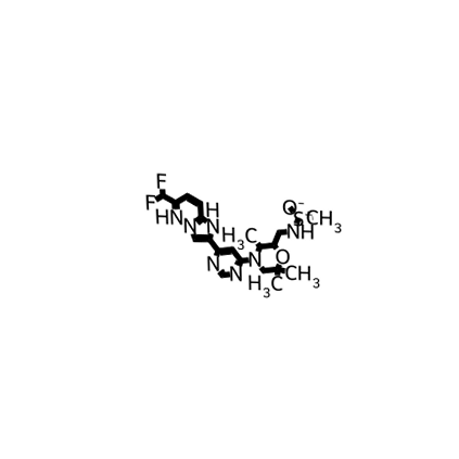 CC1C(CN[S+](C)[O-])OC(C)(C)CN1c1cc(-c2cnc(/C=C\C(=N)C(F)F)[nH]2)ncn1